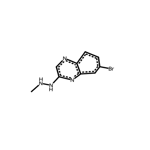 CNNc1cnc2ccc(Br)cc2n1